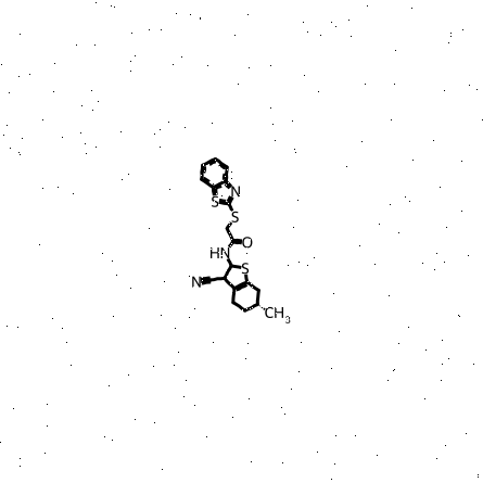 C[C@@H]1CCC2=C(C1)SC(NC(=O)CSc1nc3ccccc3s1)C2C#N